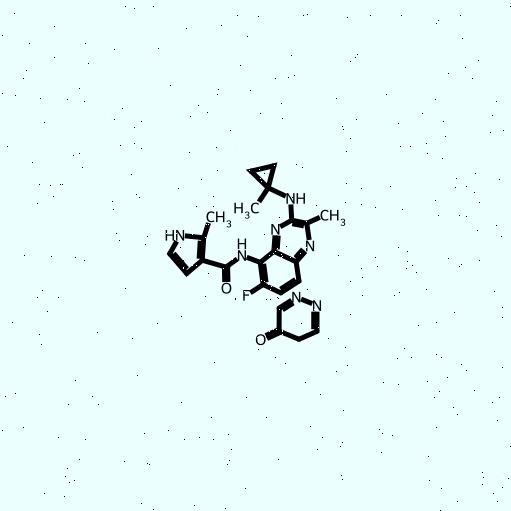 Cc1nc2ccc(F)c(NC(=O)c3cc[nH]c3C)c2nc1NC1(C)CC1.O=C1C=NN=CC1